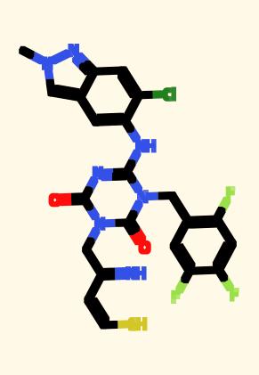 Cn1cc2cc(Nc3nc(=O)n(CC(=N)/C=C\S)c(=O)n3Cc3cc(F)c(F)cc3F)c(Cl)cc2n1